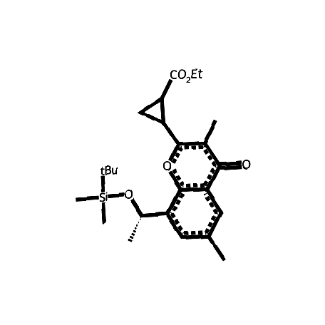 CCOC(=O)C1CC1c1oc2c([C@H](C)O[Si](C)(C)C(C)(C)C)cc(C)cc2c(=O)c1C